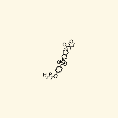 CC(P)Oc1ccc(S(=O)(=O)N2CC3=C(CN(C(=O)[C@@]4(C)CCOC4)C3)C2)cc1